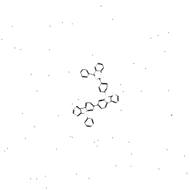 c1ccc(-c2nc(-c3ccc(-n4c5cc(-c6ccc7c8ccccc8n(-c8ccccc8)c7c6)ccc5c5cccnc54)cc3)nc3ccccc23)cc1